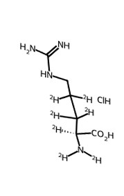 Cl.[2H]N([2H])[C@]([2H])(C(=O)O)C([2H])([2H])C([2H])([2H])CNC(=N)N